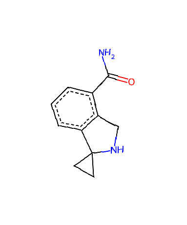 NC(=O)c1cccc2c1CNC21CC1